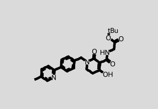 Cc1ccc(-c2ccc(CN3CCC(O)=C(C(=O)NCC(=O)OC(C)(C)C)C3=O)cc2)nc1